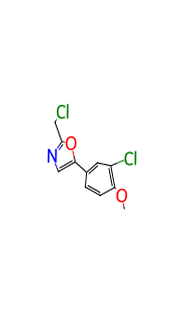 COc1ccc(-c2cnc(CCl)o2)cc1Cl